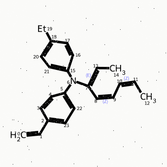 C=Cc1ccc(N(C(/C=C\C=C/C)=C/C)c2ccc(CC)cc2)cc1